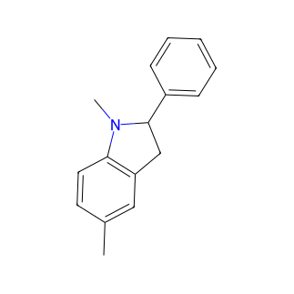 Cc1ccc2c(c1)CC(c1ccccc1)N2C